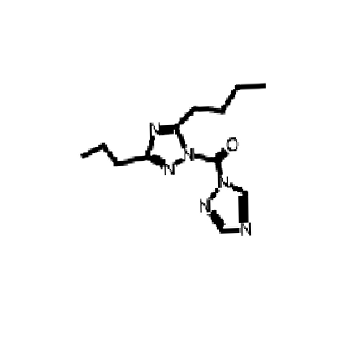 CCCCc1nc(CCC)nn1C(=O)n1cncn1